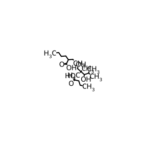 CC(C)C(O)C(C)(C)CO.CCCC(=O)O.CCCCC(CC)C(=O)O